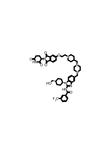 O=C1CCC(N2C(=O)c3ccc(OCCN4CCC(CN5CCN(Cc6ccc7c(c6)nc(NC(=O)c6cccc(C(F)(F)F)c6)n7[C@H]6CC[C@@H](CO)CC6)CC5)CC4)cc3C2=O)C(=O)N1